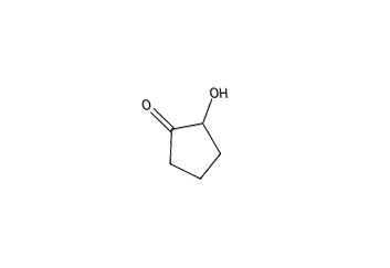 O=C1CCCC1O